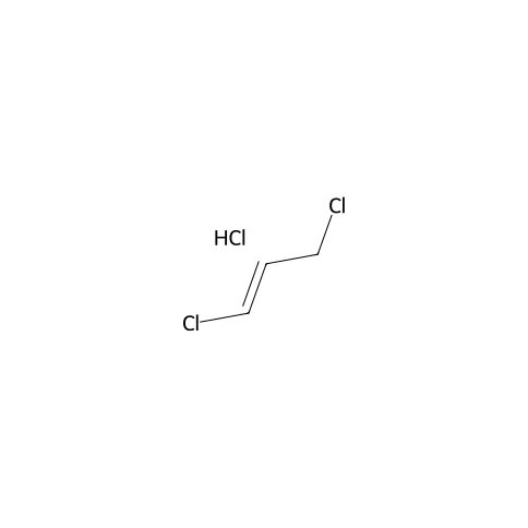 Cl.ClC=CCCl